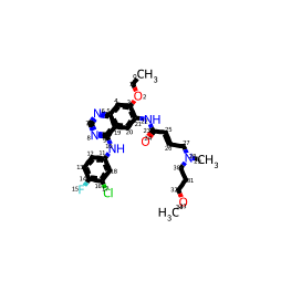 CCOc1cc2ncnc(Nc3ccc(F)c(Cl)c3)c2cc1NC(=O)/C=C/CN(C)CCCOC